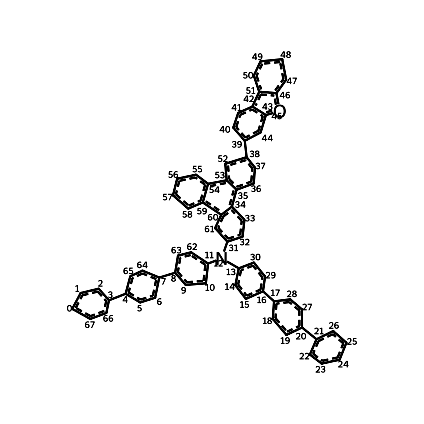 c1ccc(-c2ccc(-c3ccc(N(c4ccc(-c5ccc(-c6ccccc6)cc5)cc4)c4ccc5c6ccc(-c7ccc8c(c7)oc7ccccc78)cc6c6ccccc6c5c4)cc3)cc2)cc1